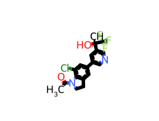 CC(=O)N1CCc2cc(-c3cncc([C@](C)(O)C(F)(F)F)c3)cc(Cl)c21